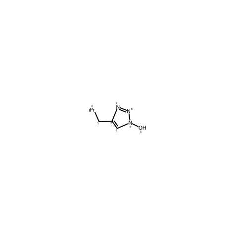 CC(C)Cc1cn(O)nn1